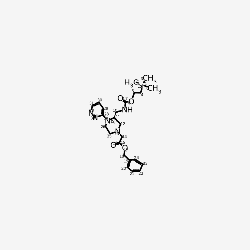 C[Si](C)(C)CCOC(=O)NC[C@H]1CN(CC(=O)OCc2ccccc2)CCN1c1cccnn1